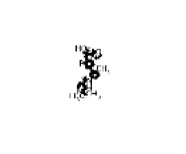 Cc1ccc(NC(=O)c2ccnc(C(C)(C)F)c2)cc1-c1cc(F)c2c(c1)N1CCOC[C@@H]1[C@](F)(CO)C2